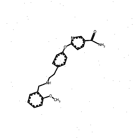 COc1ccccc1CNCCc1ccc(Oc2ccc(C(N)=O)cn2)cc1